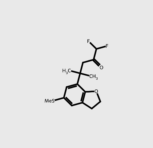 CSc1cc2c(c(C(C)(C)CC(=O)C(F)F)c1)OCC2